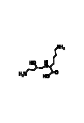 NCCCCC(NCC(O)CCN)C(=O)O